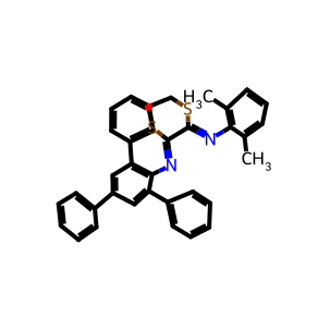 Cc1cccc(C)c1/N=C1\SCCS\C1=N/c1c(-c2ccccc2)cc(-c2ccccc2)cc1-c1ccccc1